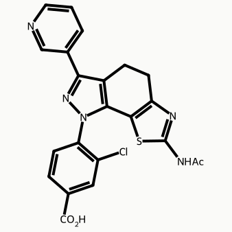 CC(=O)Nc1nc2c(s1)-c1c(c(-c3cccnc3)nn1-c1ccc(C(=O)O)cc1Cl)CC2